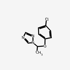 CC(Oc1ccc(Cl)cc1)n1cncn1